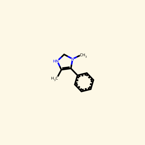 CC1=C(c2ccccc2)N(C)CN1